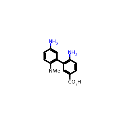 CNc1ccc(N)cc1-c1cc(C(=O)O)ccc1N